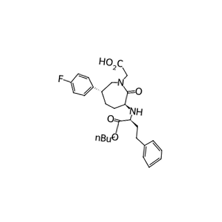 CCCCOC(=O)[C@H](CCc1ccccc1)N[C@H]1CC[C@H](c2ccc(F)cc2)CN(CC(=O)O)C1=O